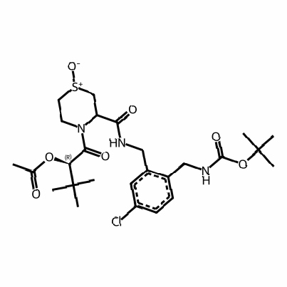 CC(=O)O[C@@H](C(=O)N1CC[S+]([O-])CC1C(=O)NCc1cc(Cl)ccc1CNC(=O)OC(C)(C)C)C(C)(C)C